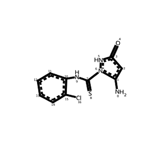 Nc1cc(=O)[nH]n1C(=S)Nc1ccccc1Cl